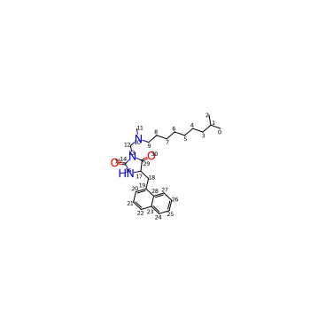 CC(C)CCCCCCCN(C)CN1C(=O)NC(Cc2cccc3ccccc23)C1=O